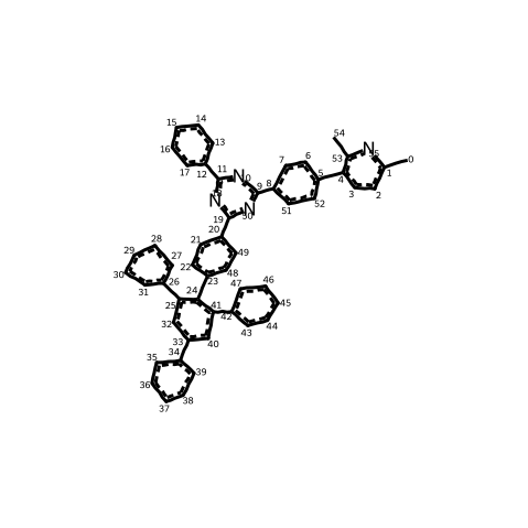 Cc1ccc(-c2ccc(-c3nc(-c4ccccc4)nc(-c4ccc(-c5c(-c6ccccc6)cc(-c6ccccc6)cc5-c5ccccc5)cc4)n3)cc2)c(C)n1